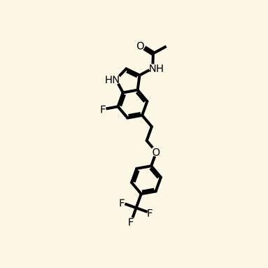 CC(=O)Nc1c[nH]c2c(F)cc(CCOc3ccc(C(F)(F)F)cc3)cc12